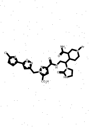 CC(C)N1CCC(C(CNC(=O)c2cc(C(=O)O)n(Cc3cc(-c4ccc(Cl)s4)on3)n2)N2CCNC2=O)C(C(N)=O)C1